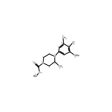 COc1cc(N2CCN(C(=O)OC(C)(C)C)CC2C)cc(C)c1Cl